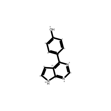 Oc1ccc(-c2ncnc3[nH]ccc23)cc1